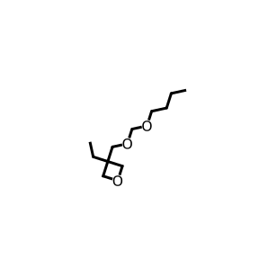 CCCCOCOCC1(CC)COC1